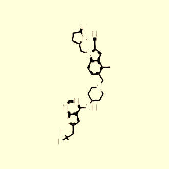 Cc1c(CN2CCC(Nc3ncnc4sc(CC(F)(F)F)cc34)CC2)ccc2c1cc(C#N)n2CC1CCC(=O)N1